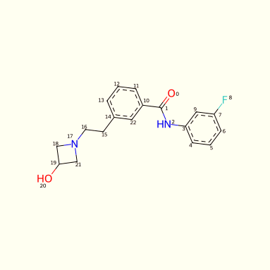 O=C(Nc1cccc(F)c1)c1cccc(CCN2CC(O)C2)c1